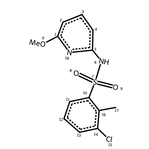 COc1cccc(NS(=O)(=O)c2cccc(Cl)c2C)n1